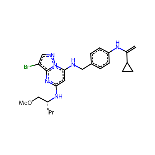 C=C(Nc1ccc(CNc2cc(N[C@@H](COC)C(C)C)nc3c(Br)cnn23)cc1)C1CC1